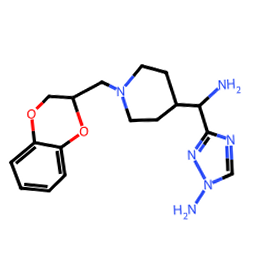 NC(c1ncn(N)n1)C1CCN(CC2COc3ccccc3O2)CC1